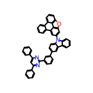 c1ccc(-c2cc(-c3ccccc3)nc(-c3cccc(-c4ccc5c(c4)c4ccccc4n5-c4cc5oc6cccc7c8ccccc8c(c4)c5c67)c3)n2)cc1